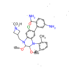 Cc1cccc(C(C)C)c1N1c2cc(-c3cc(N)ccc3C(N)=O)c(Cl)cc2N(CC2CN(C(=O)O)C2)C(OC(C)(C)C)C1OC(C)(C)C